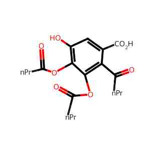 CCCC(=O)Oc1c(O)cc(C(=O)O)c(C(=O)CCC)c1OC(=O)CCC